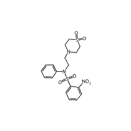 O=[N+]([O-])c1ccccc1S(=O)(=O)N(CCN1CCS(=O)(=O)CC1)c1ccccc1